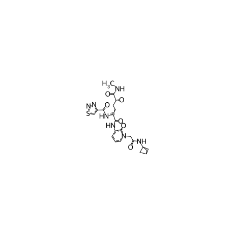 CNC(=O)C(=O)CC[C@H](NC(=O)c1csnn1)C(=O)Nc1cccn(CC(=O)NC23CC(C2)C3)c1=O